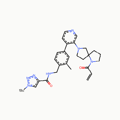 C=CC(=O)N1CCCC12CCN(c1cnccc1-c1ccc(CNC(=O)c3cn(C(C)(C)C)nn3)c(C)c1)C2